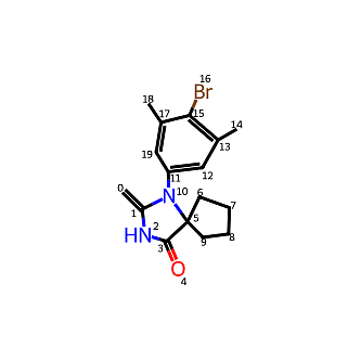 C=C1NC(=O)C2(CCCC2)N1c1cc(C)c(Br)c(C)c1